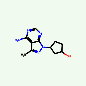 Bc1nn(C2CCC(O)C2)c2ncnc(N)c12